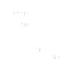 CCCCCCCCNCCCN1CCNCC1